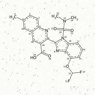 Cc1ccc2nc(-c3nc4c(OC(F)F)cccc4n3S(=O)(=O)N(C)C)c(C(=O)O)cc2c1